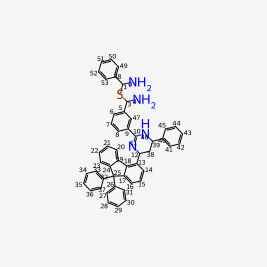 NC(SC(N)c1cccc(C2=NC(c3cccc4c3-c3ccccc3C4(c3ccccc3)c3ccccc3)CC(c3ccccc3)N2)c1)c1ccccc1